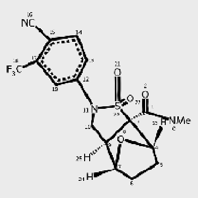 CNC(=O)[C@]12[C@@H]3CC[C@@H](O3)[C@H]1CN(c1ccc(C#N)c(C(F)(F)F)c1)S2(=O)=O